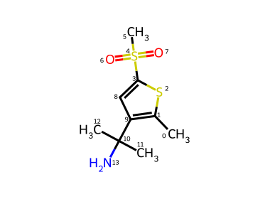 Cc1sc(S(C)(=O)=O)cc1C(C)(C)N